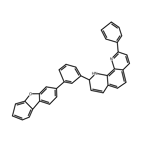 C1=CC(c2cccc(-c3ccc4c(c3)oc3ccccc34)c2)Nc2c1ccc1ccc(-c3ccccc3)nc21